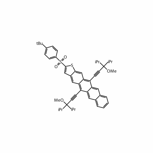 COC(C#Cc1c2cc3ccccc3cc2c(C#CC(OC)(C(C)C)C(C)C)c2cc3sc(S(=O)(=O)c4ccc(C(C)(C)C)cc4)cc3cc12)(C(C)C)C(C)C